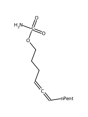 CCCCCC=C=CCCCOS(N)(=O)=O